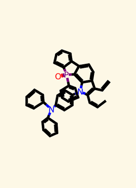 C=Cc1c(/C=C\C)n(-c2ccc(N(c3ccccc3)c3ccccc3)cc2)c2c3c(ccc12)-c1ccccc1P3(=O)c1ccccc1